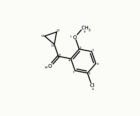 COc1ccc(Cl)cc1C(=O)C1CC1